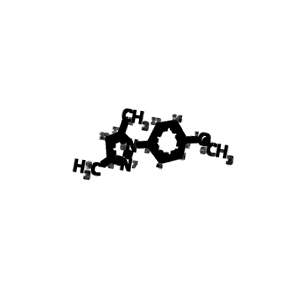 COc1ccc(-n2nc(C)cc2C)cc1